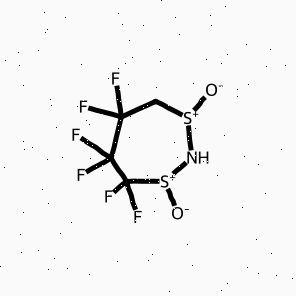 [O-][S+]1CC(F)(F)C(F)(F)C(F)(F)[S+]([O-])N1